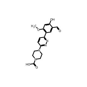 COc1cc(O)c(C=O)cc1-c1ccc(N2CCN(C(=O)O)CC2)nn1